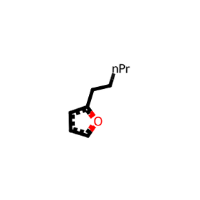 [CH2]CCCCc1ccco1